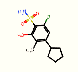 NS(=O)(=O)c1c(Cl)cc(C2CCCC2)c([N+](=O)[O-])c1O